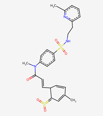 CC1=CC(=S(=O)=O)C(C=CC(=O)N(C)c2ccc(S(=O)(=O)NCCc3cccc(C)n3)cc2)C=C1